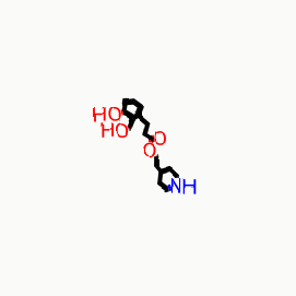 O=C(CCc1cccc(O)c1CO)OCCC1CCNCC1